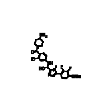 COc1ccc(-c2cnc(C(O)Nc3ccc(C(=O)N4CCC(N)CC4)c(Cl)c3)n2C)c(F)c1F